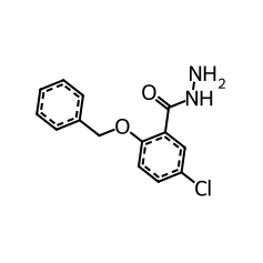 NNC(=O)c1cc(Cl)ccc1OCc1ccccc1